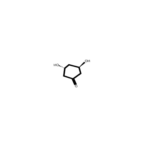 O=C1C[C@H](O)C[C@@H](O)C1